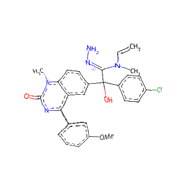 C=CN(C)/C(=N\N)C(O)(c1ccc(Cl)cc1)c1ccc2c(c1)c(-c1cccc(OC)c1)nc(=O)n2C